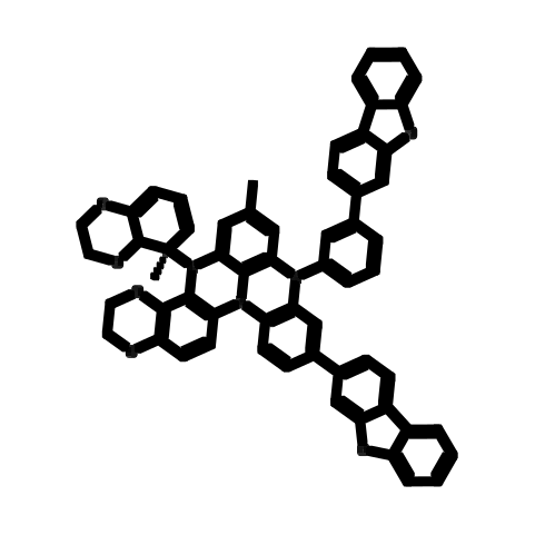 Cc1cc2c3c(c1)N([C@]1(C)C=CC=C4OCCOC41)c1c(ccc4c1OCCO4)B3c1ccc(-c3ccc4c(c3)oc3ccccc34)cc1N2c1cccc(-c2ccc3c(c2)oc2ccccc23)c1